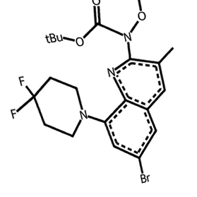 Cc1cc2cc(Br)cc(N3CCC(F)(F)CC3)c2nc1N(OC(C)(C)C)C(=O)OC(C)(C)C